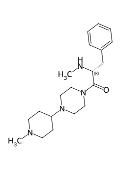 CN[C@H](Cc1ccccc1)C(=O)N1CCN(C2CCN(C)CC2)CC1